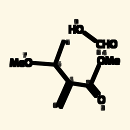 C=C(C(=O)OC)C(C)OC.O=CO